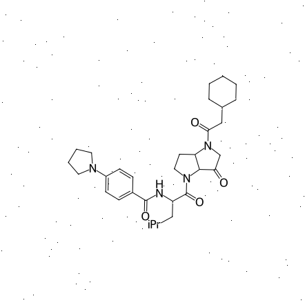 CC(C)CC(NC(=O)c1ccc(N2CCCC2)cc1)C(=O)N1CCC2C1C(=O)CN2C(=O)CC1CCCCC1